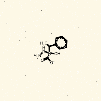 CC(c1ccccc1)[N+](O)(NN)C(=O)[O-]